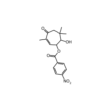 CC1=CC(OC(=O)c2ccc([N+](=O)[O-])cc2)C(O)C(C)(C)CC1=O